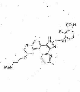 CNCCCOc1cnc2ccc(-c3[nH]c(CNc4cccc(C(=O)O)c4F)nc3-c3cccc(C)n3)cc2c1